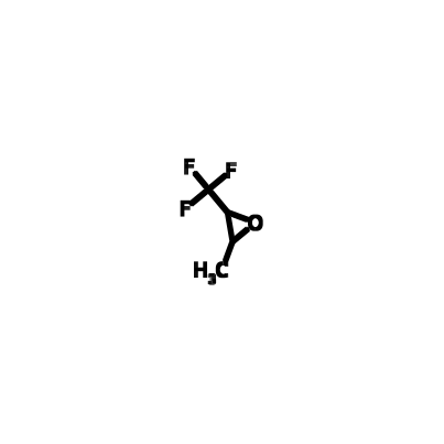 CC1OC1C(F)(F)F